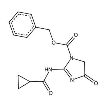 O=C1CN(C(=O)OCc2ccccc2)C(NC(=O)C2CC2)=N1